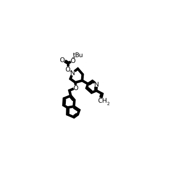 C=Cc1ccc(C2CCN(OC(=O)OC(C)(C)C)CC2OCc2ccc3ccccc3c2)cn1